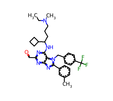 CCN(C)CCCC(Nc1nc(C=O)nc2nc(-c3cccc(C)c3)n(Cc3ccc(C(F)(F)F)cc3)c12)C1CCC1